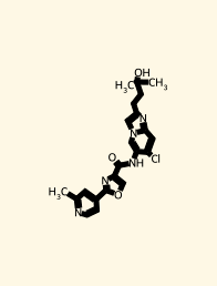 Cc1cc(-c2nc(C(=O)Nc3cn4cc(CCC(C)(C)O)nc4cc3Cl)co2)ccn1